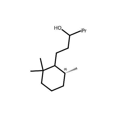 CC(C)C(O)CCC1[C@H](C)CCCC1(C)C